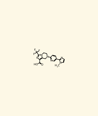 Cn1ccnc1-c1ccc(N2CCn3c(C(F)(F)F)nc(C(=O)O)c3C2)nc1